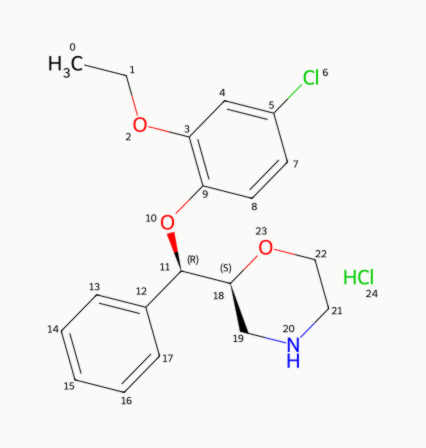 CCOc1cc(Cl)ccc1O[C@H](c1ccccc1)[C@@H]1CNCCO1.Cl